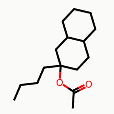 CCCCC1(OC(C)=O)CCC2CCCCC2C1